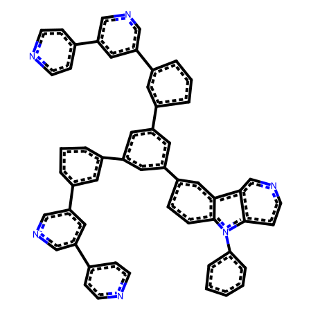 c1ccc(-n2c3ccncc3c3cc(-c4cc(-c5cccc(-c6cncc(-c7ccncc7)c6)c5)cc(-c5cccc(-c6cncc(-c7ccncc7)c6)c5)c4)ccc32)cc1